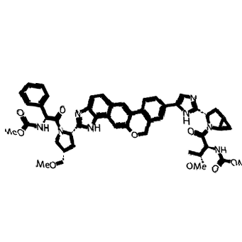 COC[C@H]1C[C@@H](c2nc3ccc4cc5c(cc4c3[nH]2)OCc2cc(-c3cnc([C@@H]4CC6CC6N4C(=O)[C@@H](NC(=O)OC)[C@@H](C)OC)[nH]3)ccc2-5)N(C(=O)[C@H](NC(=O)OC)c2ccccc2)C1